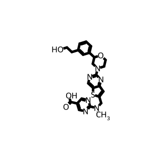 CN(Cc1cc2nc(N3CCOC(c4cccc(CCO)c4)C3)ncc2s1)c1ncc(C(=O)O)cn1